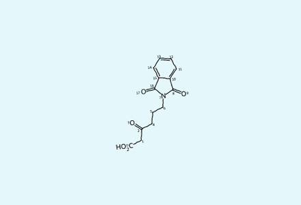 O=C(O)CC(=O)CCCN1C(=O)c2ccccc2C1=O